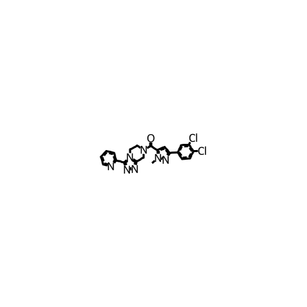 Cn1nc(-c2ccc(Cl)c(Cl)c2)cc1C(=O)N1CCn2c(nnc2-c2ccccn2)C1